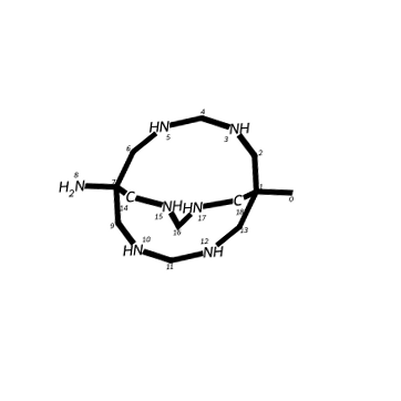 CC12CNCNCC(N)(CNCNC1)CNCNC2